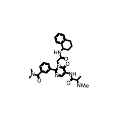 CNC(C)C(=O)Nc1cnc(-c2cccc(C(=O)N(C)C)c2)n(CC(=O)NC2CCCc3ccccc32)c1=O